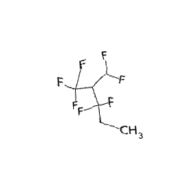 CCC(F)(F)C(C(F)F)C(F)(F)F